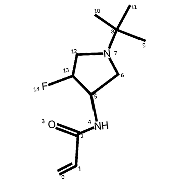 C=CC(=O)NC1CN(C(C)(C)C)CC1F